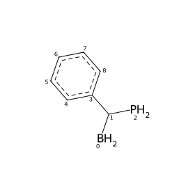 BC(P)c1ccccc1